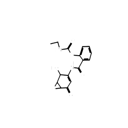 CCNC(=O)Oc1ccccc1C(=O)NC1=CC(=O)C2OC2C1O